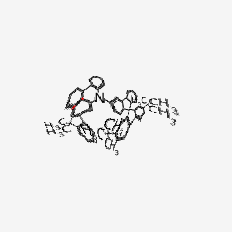 CC(C)(C)c1ccc2c(c1)C1(c3ccccc3-c3cc(N(c4ccc5c(c4)-c4ccccc4C5(C)C)c4ccccc4-c4ccccc4)ccc31)c1cc(C(C)(C)C)ccc1-2